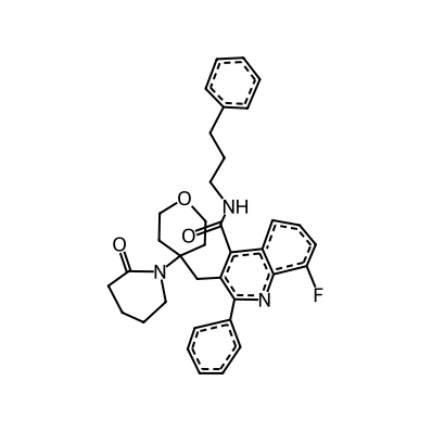 O=C(NCCCc1ccccc1)c1c(CC2(N3CCCCC3=O)CCOCC2)c(-c2ccccc2)nc2c(F)cccc12